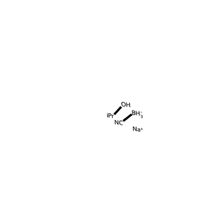 CC(C)O.[BH3-]C#N.[Na+]